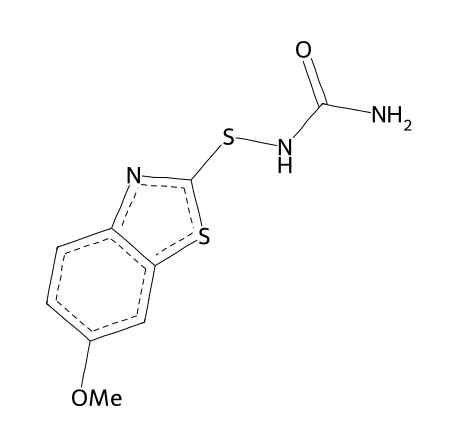 COc1ccc2nc(SNC(N)=O)sc2c1